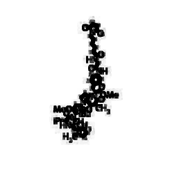 CC[C@H](C)[C@@H]([C@@H](CC(=O)N1CCC[C@H]1[C@H](OC)[C@@H](C)C(=O)N[C@@H](Cc1ccc(NC(=O)CNC(=O)CCCCCN2C(=O)C=CC2=O)cc1)C(=O)OC)OC)N(C)C(=O)[C@@H](N/C=C/[C@@]1(C)CCCN1C)C(C)C